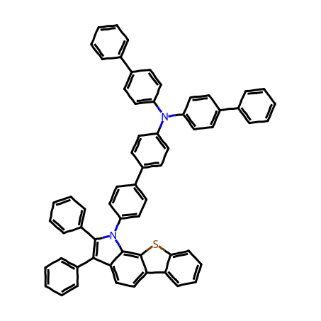 c1ccc(-c2ccc(N(c3ccc(-c4ccccc4)cc3)c3ccc(-c4ccc(-n5c(-c6ccccc6)c(-c6ccccc6)c6ccc7c8ccccc8sc7c65)cc4)cc3)cc2)cc1